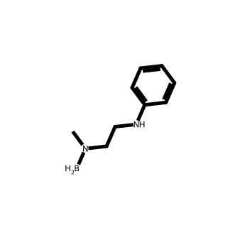 BN(C)CCNc1ccccc1